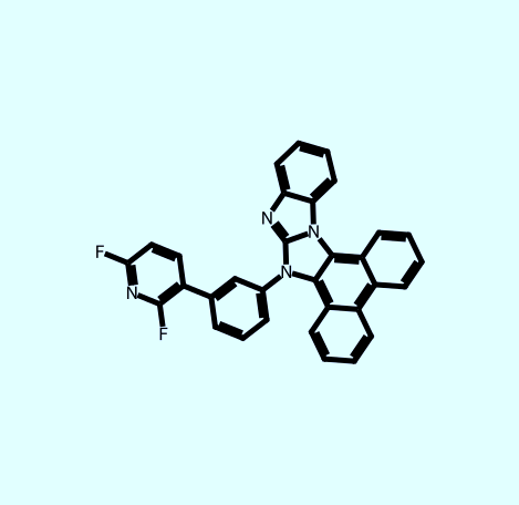 Fc1ccc(-c2cccc(-n3c4c5ccccc5c5ccccc5c4n4c5ccccc5nc34)c2)c(F)n1